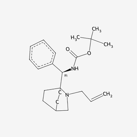 C=CCN1CC2CCC1([C@H](NC(=O)OC(C)(C)C)c1ccccc1)CC2